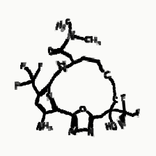 CN(C)C(=O)C1CCCCCC(O)(C(F)(F)F)c2nnc(o2)-c2nc(c(C(F)(F)F)cc2N)N1